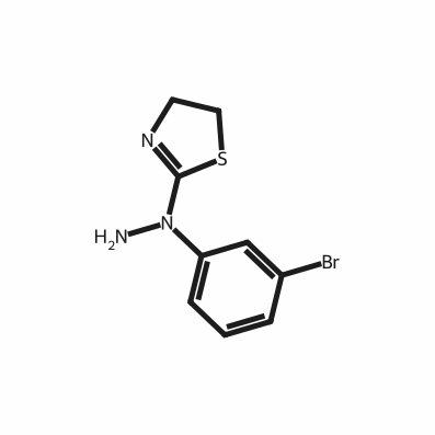 NN(C1=NCCS1)c1cccc(Br)c1